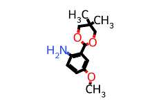 COc1ccc(N)c(C2OCC(C)(C)CO2)c1